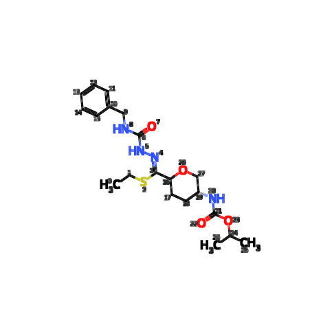 CCS/C(=N\NC(=O)NCc1ccccc1)C1CC[C@@H](NC(=O)OC(C)C)CO1